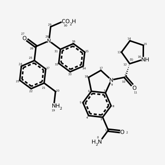 NC(=O)c1ccc2c(c1)N(C(=O)[C@@H]1CCCN1)CC2.NCc1cccc(C(=O)N(CC(=O)O)c2ccccc2)c1